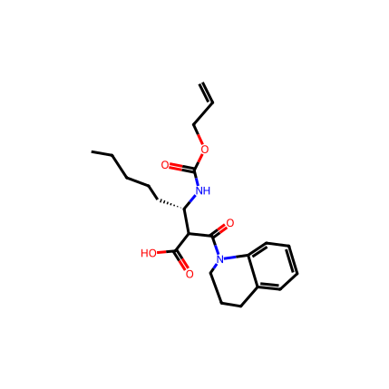 C=CCOC(=O)N[C@@H](CCCCC)C(C(=O)O)C(=O)N1CCCc2ccccc21